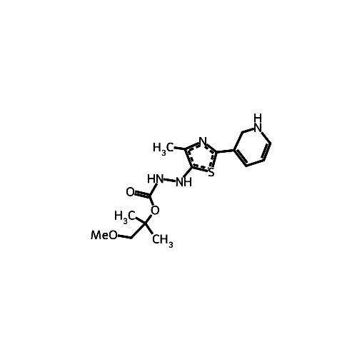 COCC(C)(C)OC(=O)NNc1sc(C2=CC=CNC2)nc1C